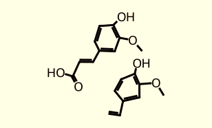 C=Cc1ccc(O)c(OC)c1.COc1cc(C=CC(=O)O)ccc1O